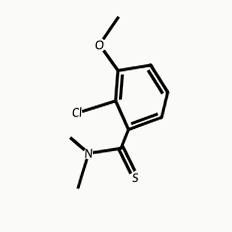 COc1cccc(C(=S)N(C)C)c1Cl